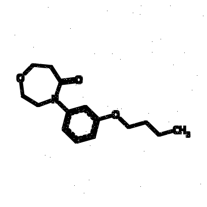 CCCCOc1cccc(N2CCOCCC2=O)c1